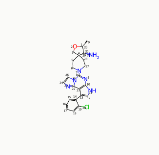 C[C@@H]1OCC2(CCN(c3nc4[nH]cc(-c5ccccc5Cl)c4c4nccn34)CC2)[C@@H]1N